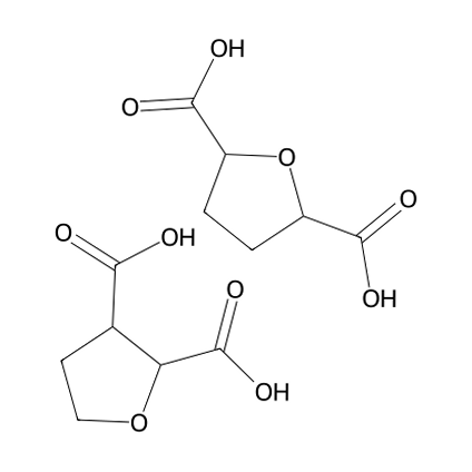 O=C(O)C1CCC(C(=O)O)O1.O=C(O)C1CCOC1C(=O)O